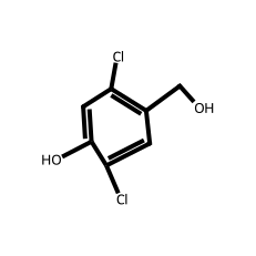 OCc1cc(Cl)c(O)cc1Cl